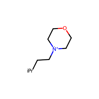 CC(C)CC[N+]1CCOCC1